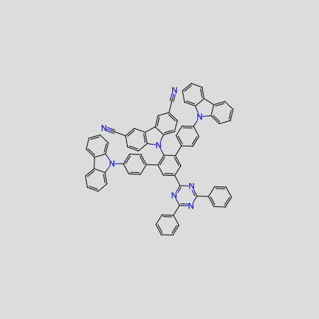 N#Cc1ccc2c(c1)c1cc(C#N)ccc1n2-c1c(-c2ccc(-n3c4ccccc4c4ccccc43)cc2)cc(-c2nc(-c3ccccc3)nc(-c3ccccc3)n2)cc1-c1ccc(-n2c3ccccc3c3ccccc32)cc1